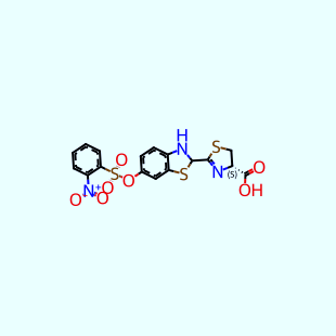 O=C(O)[C@H]1CSC(C2Nc3ccc(OS(=O)(=O)c4ccccc4[N+](=O)[O-])cc3S2)=N1